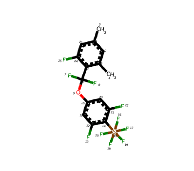 Cc1cc(C)c(C(F)(F)Oc2cc(F)c(S(F)(F)(F)(F)F)c(F)c2)c(F)c1